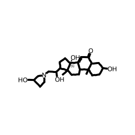 CC12CCC(O)CC1C(=O)C=C1C2CCC2(C)C(C(O)CN3CCC(O)C3)CC[C@@]12O